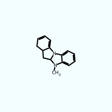 CN1c2ccccc2N2C3=CC=CCC3CC12